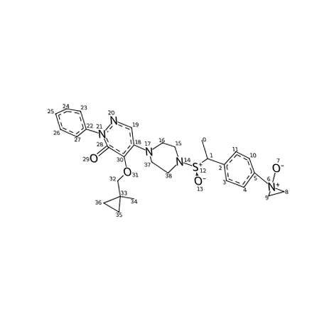 CC(c1ccc([N+]2([O-])CC2)cc1)[S@@+]([O-])N1CCN(c2cnn(-c3ccccc3)c(=O)c2OCC2(C)CC2)CC1